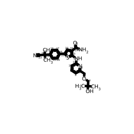 CC(C)(O)COCc1cccc(Nc2sc(-c3ccc(C(C)(C)C#N)cc3)cc2C(N)=O)n1